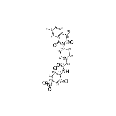 Cc1ccc2c(c1)c(=O)n(C1CCN(CC(=O)Nc3c(Cl)cc([N+](=O)[O-])cc3Cl)CC1)c(=O)n2C